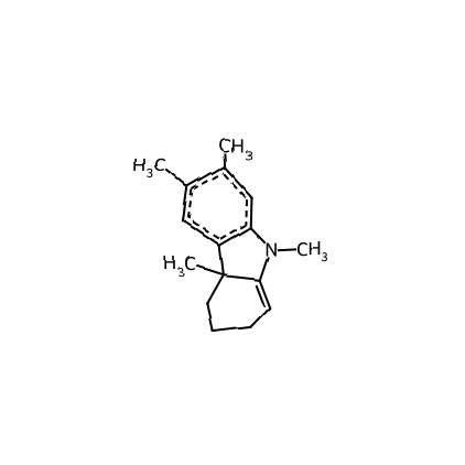 Cc1cc2c(cc1C)C1(C)CCCC=C1N2C